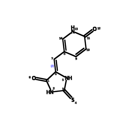 O=C1NC(=S)N/C1=C\c1ccc(=O)[nH]c1